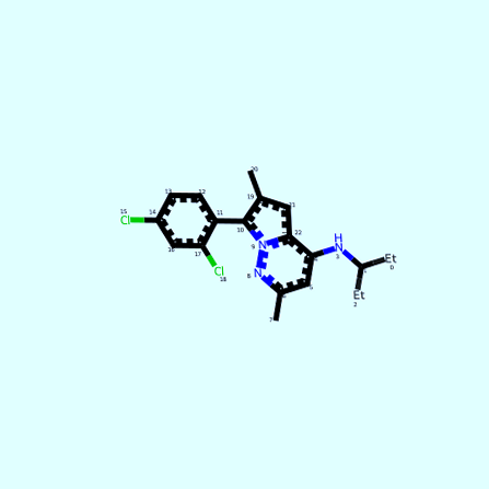 CCC(CC)Nc1cc(C)nn2c(-c3ccc(Cl)cc3Cl)c(C)cc12